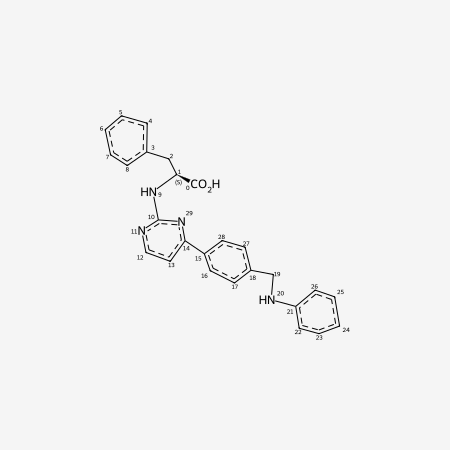 O=C(O)[C@H](Cc1ccccc1)Nc1nccc(-c2ccc(CNc3ccccc3)cc2)n1